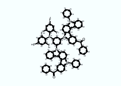 Cc1cc(F)cc(F)c1B(c1cc(-n2c3ccccc3c3c4c5cc(C(=O)c6ccccc6)ccc5n(-c5ccccc5)c4ccc32)cc(-n2c3ccc(C(=O)c4ccccc4)cc3c3c4c5ccccc5n(-c5ccccc5)c4ccc32)c1)c1c(F)cc(F)cc1F